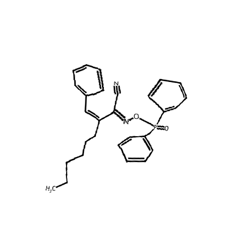 CCCCCCC(=Cc1ccccc1)C(C#N)=NOP(=O)(c1ccccc1)c1ccccc1